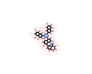 BC(=C)/C(B)=C(/B)c1c(B)n(-c2c(B)c(B)c(-c3nc(-c4c(B)c(B)c5c(B)c(B)c(B)c(B)c5c4B)nc(-c4c(B)c(B)c5c(B)c(B)c(B)c(B)c5c4B)n3)c3c(B)c(B)c(B)c(B)c23)c2c(B)c(B)c(B)c(B)c12